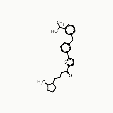 CC(O)c1cccc(Cc2cccc(-c3ccc(C(=O)CCCC4CCCC4C)s3)c2)c1